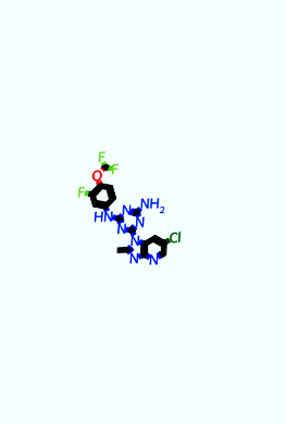 Cc1nc2ncc(Cl)cc2n1-c1nc(N)nc(Nc2ccc(OC(F)F)c(F)c2)n1